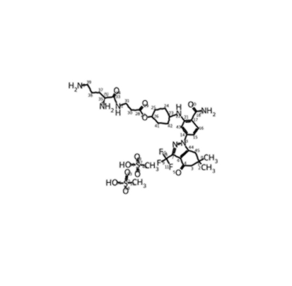 CC1(C)CC(=O)c2c(C(F)(F)F)nn(-c3ccc(C(N)=O)c(NC4CCC(OC(=O)CCNC(=O)[C@@H](N)CCCN)CC4)c3)c2C1.CS(=O)(=O)O.CS(=O)(=O)O